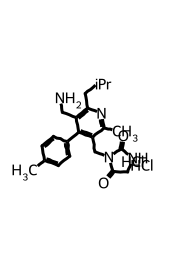 Cc1ccc(-c2c(CN3C(=O)CNC3=O)c(C)nc(CC(C)C)c2CN)cc1.Cl.Cl